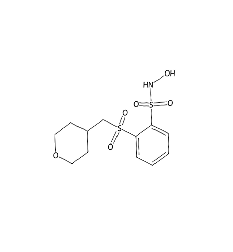 O=S(=O)(CC1CCOCC1)c1ccccc1S(=O)(=O)NO